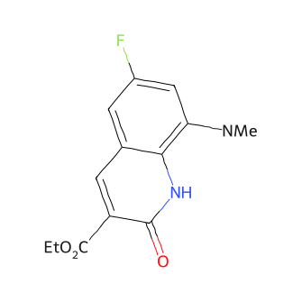 CCOC(=O)c1cc2cc(F)cc(NC)c2[nH]c1=O